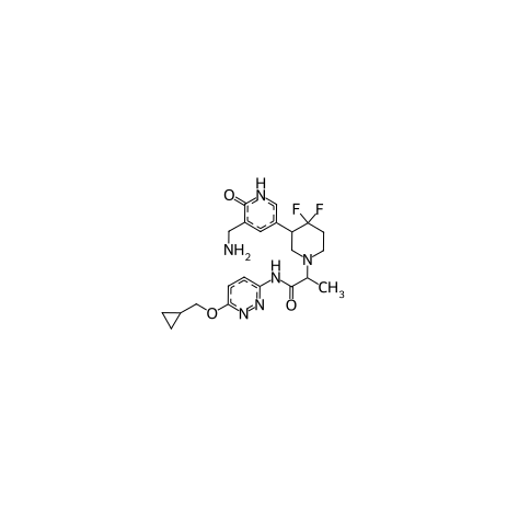 CC(C(=O)Nc1ccc(OCC2CC2)nn1)N1CCC(F)(F)C(c2c[nH]c(=O)c(CN)c2)C1